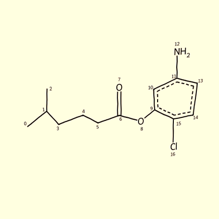 CC(C)CCCC(=O)Oc1cc(N)ccc1Cl